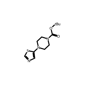 CC(C)(C)OC(=O)N1CCN(c2cncs2)CC1